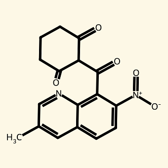 Cc1cnc2c(C(=O)C3C(=O)CCCC3=O)c([N+](=O)[O-])ccc2c1